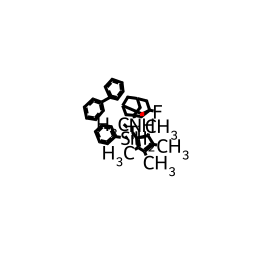 CC1=C(C)C(C)[C]([Ti]([CH3])([NH]C23CC4CC(CC(F)(C4)C2)C3)[SiH2]c2ccccc2)=C1C.c1ccc(-c2ccccc2)cc1